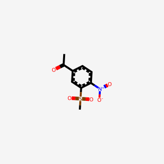 CC(=O)c1ccc([N+](=O)[O-])c(S(C)(=O)=O)c1